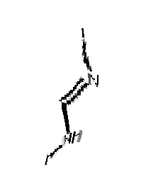 IN=CNI